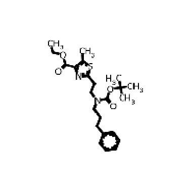 CCOC(=O)c1nc(CCN(CCCc2ccccc2)C(=O)OC(C)(C)C)sc1C